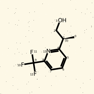 C[C@H](CO)c1cccc(C(F)(F)F)n1